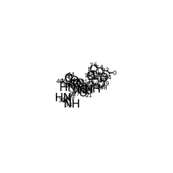 C=CCc1cc2ccccc2c(-c2c(OC)c(CC(NC(C)=O)C(=O)N[C@H](CCCNC(C)=N)C(=O)N[C@@H](CC=C)C(=O)OC)cc3ccccc23)c1OC